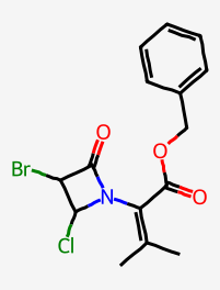 CC(C)=C(C(=O)OCc1ccccc1)N1C(=O)C(Br)C1Cl